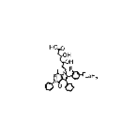 CC(C)c1c(C(=O)Nc2ccccc2)c(-c2ccccc2)c(-c2ccc(F)cc2F)n1CC[C@@H](O)C[C@@H](O)CC(=O)O.[CaH2]